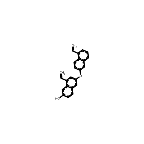 C=Cc1cccc2cc(Oc3cc(C=C)c4cc(O)ccc4c3)ccc12